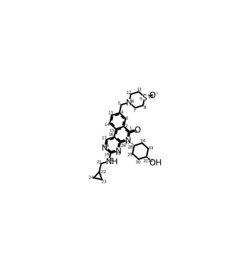 O=c1c2cc(CN3CC[S+]([O-])CC3)ccc2c2cnc(NCC3CC3)nc2n1[C@H]1CC[C@H](O)CC1